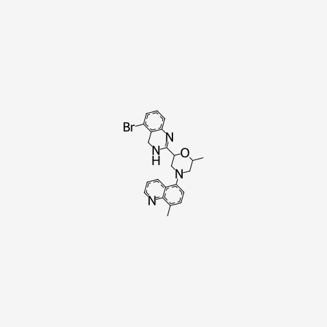 Cc1ccc(N2CC(C)OC(C3=Nc4cccc(Br)c4CN3)C2)c2cccnc12